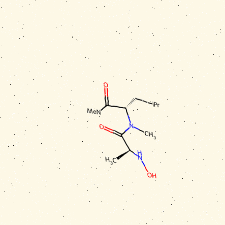 CNC(=O)[C@H](CC(C)C)N(C)C(=O)[C@H](C)NO